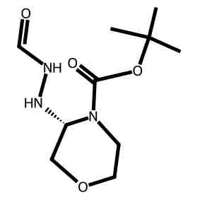 CC(C)(C)OC(=O)N1CCOC[C@@H]1NNC=O